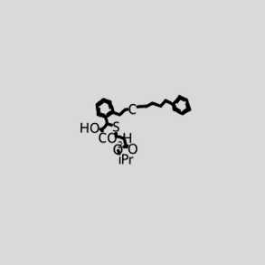 CC(C)OC(=O)CCSC(c1ccccc1CCCCCCCCc1ccccc1)C(O)C(=O)O